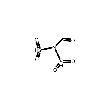 O=CN([SH](=O)=O)[SH](=O)=O